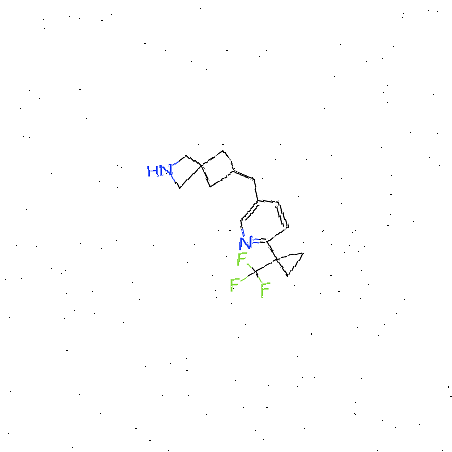 FC(F)(F)C1(c2ccc(CC3CC4(CNC4)C3)cn2)CC1